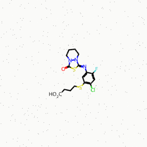 O=C(O)CCCSc1cc(N=c2sc(=O)n3n2CCCC3)c(F)cc1Cl